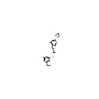 O=C(N[S+]([O-])c1cc(Br)cc2c1OCC2)c1cc2c(F)cc(N3CCC3)cc2o1